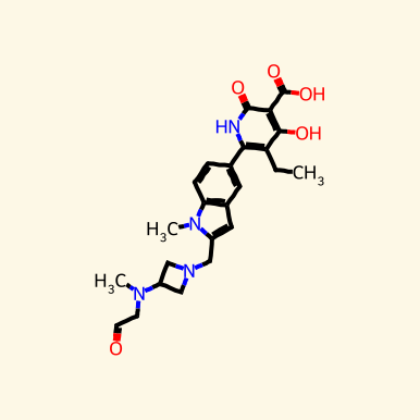 CCc1c(-c2ccc3c(c2)cc(CN2CC(N(C)CC=O)C2)n3C)[nH]c(=O)c(C(=O)O)c1O